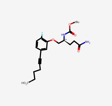 CC(C)(C)OC(=O)N[C@@H](CCC(N)=O)COc1cc(C#CCCCC(=O)O)ccc1F